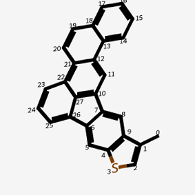 Cc1csc2cc3c(cc12)-c1cc2c4ccccc4ccc2c2cccc-3c12